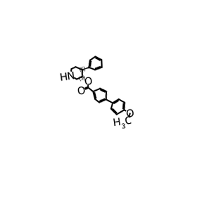 COc1ccc(-c2ccc(C(=O)O[C@@H]3CNCC[C@H]3c3ccccc3)cc2)cc1